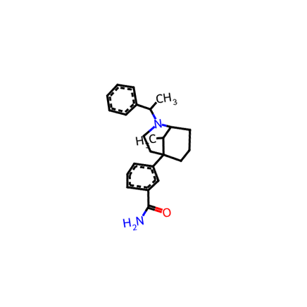 CC(c1ccccc1)N1CCC2(c3cccc(C(N)=O)c3)CCCC1C2C